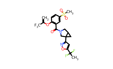 C=C(Oc1ccc(S(C)(=O)=O)cc1C(=O)N1CC2CC2(c2cc(C(C)(F)F)on2)C1)C(F)(F)F